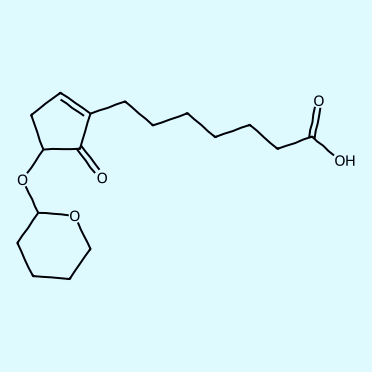 O=C(O)CCCCCCC1=CCC(OC2CCCCO2)C1=O